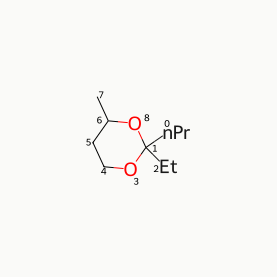 CCCC1(CC)OCCC(C)O1